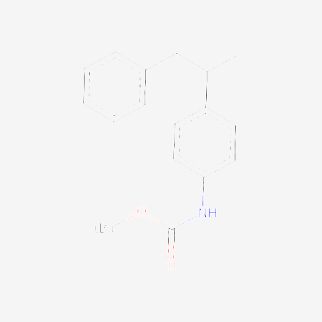 CC(Cc1ccccc1)c1ccc(NC(=O)OC(C)(C)C)cc1